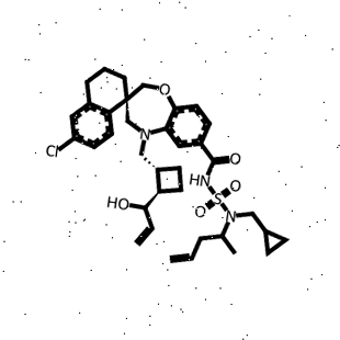 C=CCC(C)N(CC1CC1)S(=O)(=O)NC(=O)c1ccc2c(c1)N(C[C@@H]1CC[C@H]1C(O)C=C)C[C@@]1(CCCc3cc(Cl)ccc31)CO2